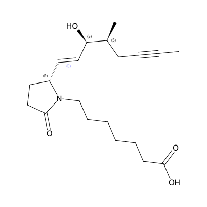 CC#CC[C@H](C)[C@H](O)/C=C/[C@H]1CCC(=O)N1CCCCCCC(=O)O